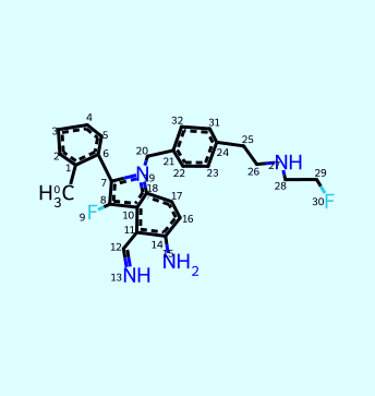 Cc1ccccc1-c1c(F)c2c(C=N)c(N)ccc2n1Cc1ccc(CCNCCF)cc1